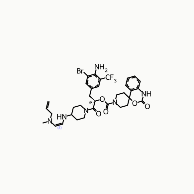 C=CCN(C)/C=C\NC1CCN(C(=O)[C@@H](Cc2cc(Br)c(N)c(C(F)(F)F)c2)OC(=O)N2CCC3(CC2)OC(=O)Nc2ccccc23)CC1